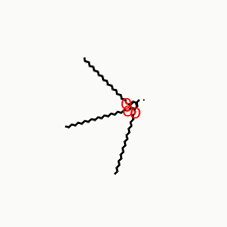 [CH2]c1cc(OCCCCCCCCCCCCCCCCCCC)c(OCCCCCCCCCCCCCCCCCCC)c(OCCCCCCCCCCCCCCCCCCC)c1